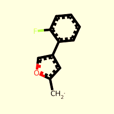 [CH2]c1cc(-c2ccccc2F)co1